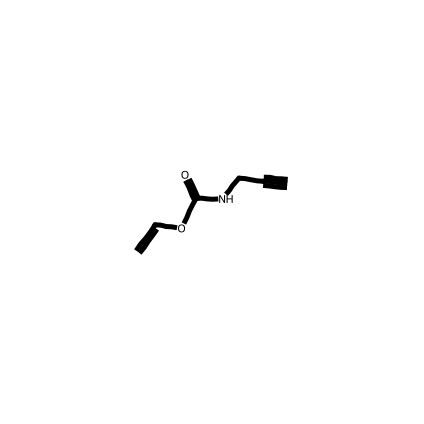 C#CCNC(=O)OC=C